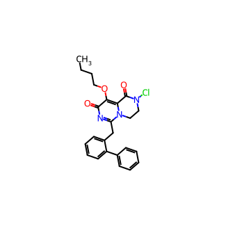 CCCCOc1c2n(c(Cc3ccccc3-c3ccccc3)nc1=O)CCN(Cl)C2=O